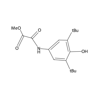 COC(=O)C(=O)Nc1cc(C(C)(C)C)c(O)c(C(C)(C)C)c1